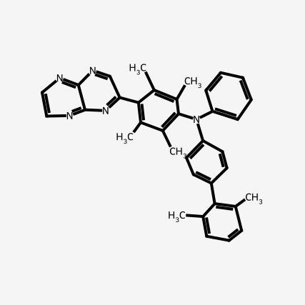 Cc1cccc(C)c1-c1ccc(N(c2ccccc2)c2c(C)c(C)c(-c3cnc4nccnc4n3)c(C)c2C)cc1